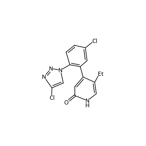 CCc1c[nH]c(=O)cc1-c1cc(Cl)ccc1-n1cc(Cl)nn1